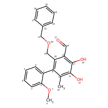 COc1ccccc1-c1c(C)c(O)c(O)c(C=O)c1COCc1ccccc1